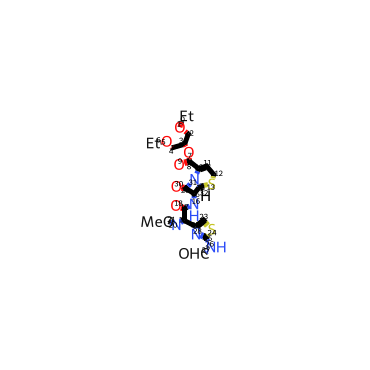 CCOCC(COCC)OC(=O)C1=CCS[C@@H]2C(NC(=O)/C(=N\OC)c3csc(NC=O)n3)C(=O)N12